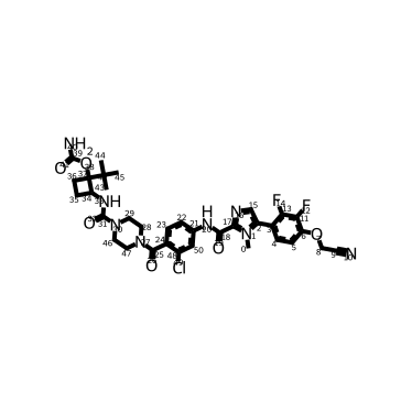 Cn1c(-c2ccc(OCC#N)c(F)c2F)cnc1C(=O)Nc1ccc(C(=O)N2CCN(C(=O)NC3CCC3(OC(N)=O)C(C)(C)C)CC2)c(Cl)c1